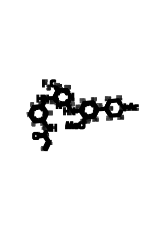 C=CC(=O)Nc1cccc(Nc2nc(Nc3ccc(C4CCN(C(C)=O)CC4)cc3OC)ncc2C(F)(F)F)c1